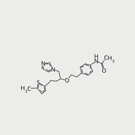 CC(=O)Nc1ccc(CCOC(CCc2ccc(C)s2)Cn2ccnc2)cc1